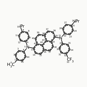 Cc1ccc(N(c2ccc(C(C)C)cc2)c2ccc3ccc4c(N(c5ccc(C(C)C)cc5)c5ccc(C(F)(F)F)cc5)ccc5ccc2c3c54)cc1